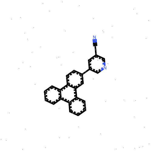 N#Cc1cncc(-c2ccc3c4ccccc4c4ccccc4c3c2)c1